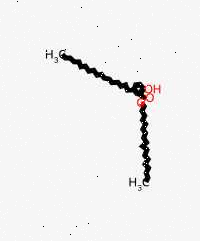 CCCCCCCCCCCCCCCCCCOC(=O)c1cc(CCCCCCCCCCCCCCCCCC)ccc1O